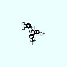 O=C(Nc1ccc(Cl)c(Cl)c1)C1C2CC(O)C(O2)C1c1ccnc(C(F)(F)F)c1